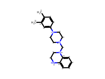 Cc1ccc(N2CCN(CN3CCNc4ccccc43)CC2)cc1C